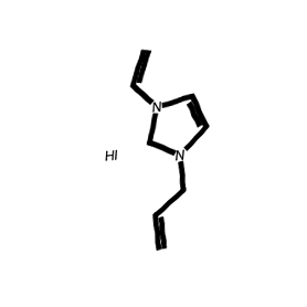 C=CCN1C=CN(C=C)C1.I